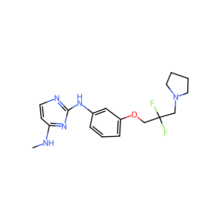 CNc1ccnc(Nc2cccc(OCC(F)(F)CN3CCCC3)c2)n1